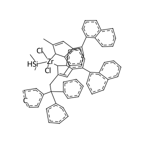 CC1=Cc2c(-c3cccc4ccccc34)ccc(C)c2[CH]1[Zr]([Cl])([Cl])([CH]1C(CC(c2ccccc2)(c2ccccc2)c2ccccc2)=Cc2c(-c3cccc4ccccc34)cccc21)[SiH](C)C